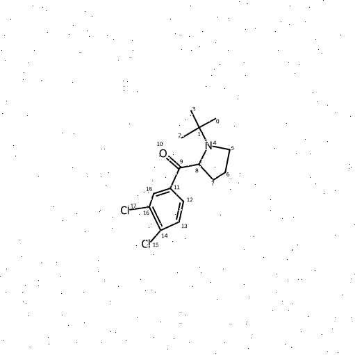 CC(C)(C)N1CCCC1C(=O)c1ccc(Cl)c(Cl)c1